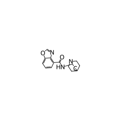 O=C(NC1CC2CCN1CC2)c1cccc2ocnc12